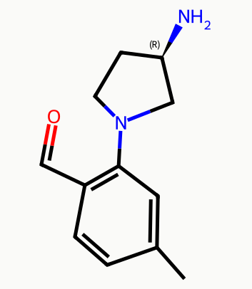 Cc1ccc(C=O)c(N2CC[C@@H](N)C2)c1